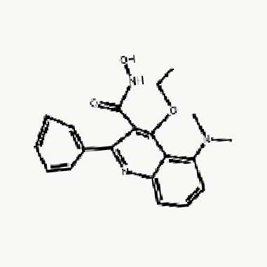 CCOc1c(C(=O)NO)c(-c2ccccc2)nc2cccc(N(C)C)c12